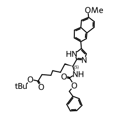 COc1ccc2cc(-c3cnc([C@H](CCCCCC(=O)OC(C)(C)C)NC(=O)OCc4ccccc4)[nH]3)ccc2c1